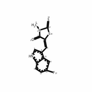 CN1C(=O)/C(=C\c2c[nH]c3ccc(F)cc23)SC1=S